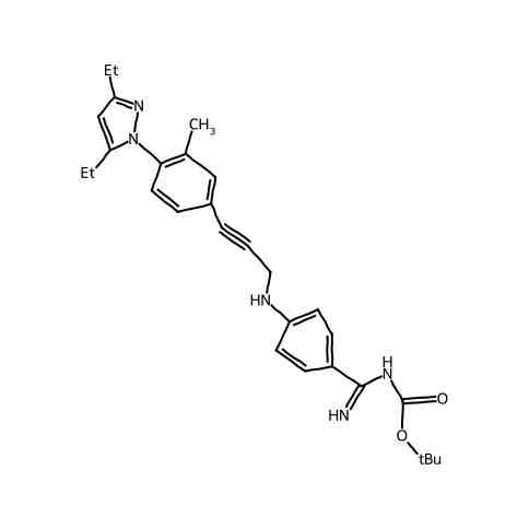 CCc1cc(CC)n(-c2ccc(C#CCNc3ccc(C(=N)NC(=O)OC(C)(C)C)cc3)cc2C)n1